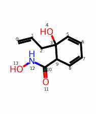 C=CCC1(O)C=CC=CC1C(=O)NO